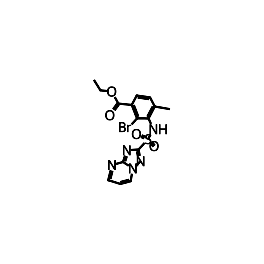 CCOC(=O)c1ccc(C)c(NS(=O)(=O)c2nc3ncccn3n2)c1Br